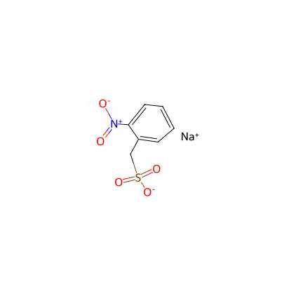 O=[N+]([O-])c1ccccc1CS(=O)(=O)[O-].[Na+]